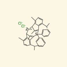 CC1=C2c3c(C(C)C)ccc(C)c3[CH]1[Zr+2][CH]1C(C)=C(c3c(C(C)C)ccc(C)c31)[Si]2(c1ccccc1)c1ccccc1.[Cl-].[Cl-]